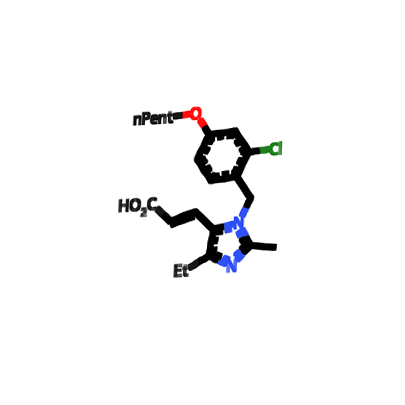 CCCCCOc1ccc(Cn2c(C)nc(CC)c2/C=C/C(=O)O)c(Cl)c1